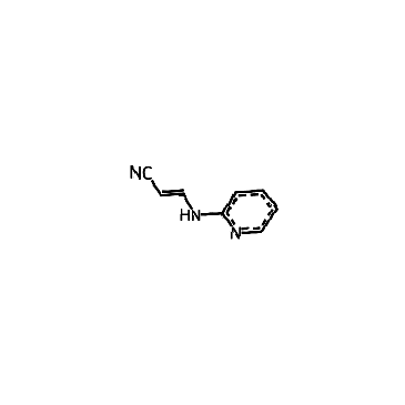 N#CC=CNc1ccccn1